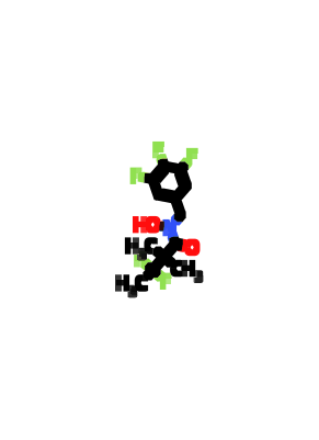 CC(F)(F)C(C)(C)C(=O)N(O)Cc1cc(F)c(F)c(F)c1